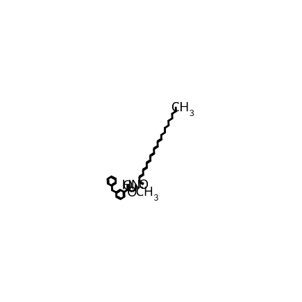 CCCCCCCCCC=CC=CC=CC=CC=CC=CC(=O)NC(C)OC(=O)c1cccc(Cc2ccccc2)c1